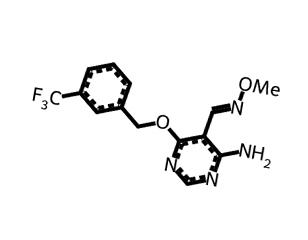 CON=Cc1c(N)ncnc1OCc1cccc(C(F)(F)F)c1